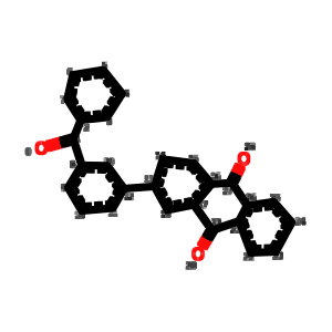 O=C(c1ccccc1)c1cccc(-c2ccc3c(c2)C(=O)c2ccccc2C3=O)c1